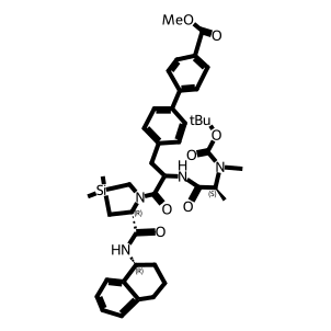 COC(=O)c1ccc(-c2ccc(CC(NC(=O)[C@H](C)N(C)C(=O)OC(C)(C)C)C(=O)N3C[Si](C)(C)C[C@H]3C(=O)N[C@@H]3CCCc4ccccc43)cc2)cc1